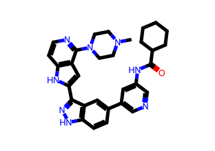 CN1CCN(c2nccc3[nH]c(-c4n[nH]c5ccc(-c6cncc(NC(=O)C7CCCCC7)c6)cc45)cc23)CC1